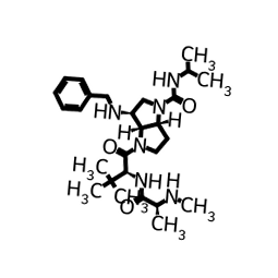 CN[C@@H](C)C(=O)N[C@H](C(=O)N1CC[C@@H]2[C@H]1[C@@H](NCc1ccccc1)CN2C(=O)NC(C)C)C(C)(C)C